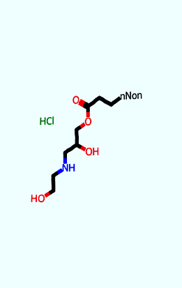 CCCCCCCCCCCC(=O)OCC(O)CNCCO.Cl